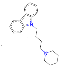 c1ccc2c(c1)c1ccccc1n2CCCCN1CCCCC1